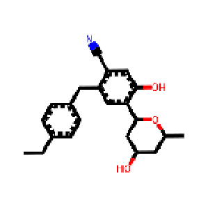 CCc1ccc(Cc2cc(C3CC(O)CC(C)O3)c(O)cc2C#N)cc1